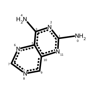 Nc1nc(N)c2ncncc2n1